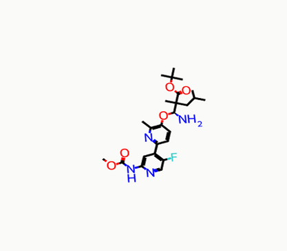 COC(=O)Nc1cc(-c2ccc(O[C@H](N)C(C)(CC(C)C)C(=O)OC(C)(C)C)c(C)n2)c(F)cn1